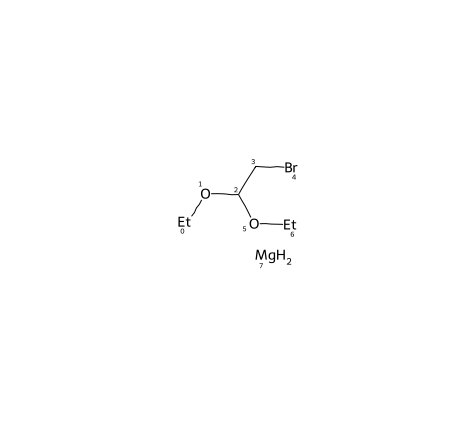 CCOC(CBr)OCC.[MgH2]